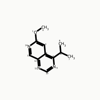 COc1cc2c(C(C)C)ncnc2cn1